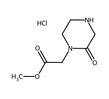 COC(=O)CN1CCNCC1=O.Cl